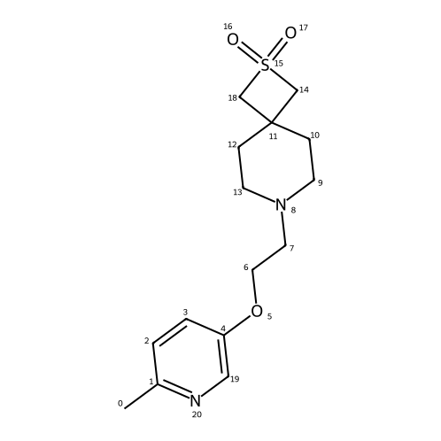 Cc1ccc(OCCN2CCC3(CC2)CS(=O)(=O)C3)cn1